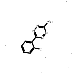 CC(C)(C)c1nnc(-c2ccccc2Cl)nn1